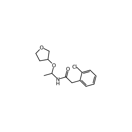 CC(NC(=O)Cc1ccccc1Cl)OC1CCOC1